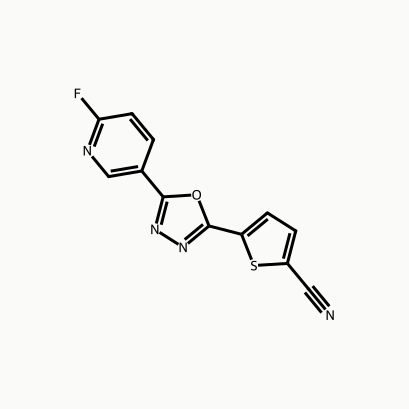 N#Cc1ccc(-c2nnc(-c3ccc(F)nc3)o2)s1